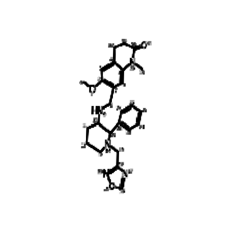 COc1cc2c(cc1CNC1CCCN(Cc3ncon3)C1c1ccccc1)N(C)C(=O)CC2